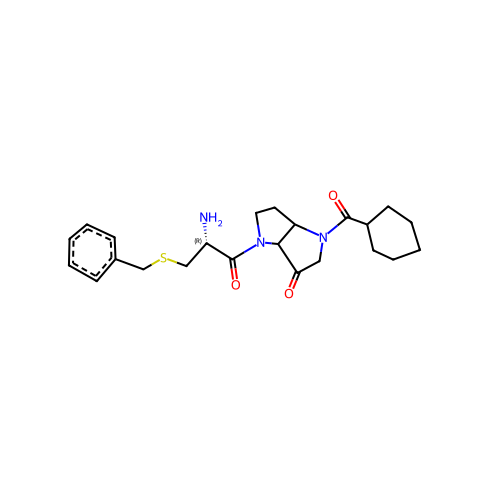 N[C@@H](CSCc1ccccc1)C(=O)N1CCC2C1C(=O)CN2C(=O)C1CCCCC1